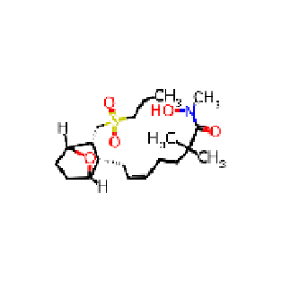 CCCS(=O)(=O)C[C@@H]1[C@H](C/C=C\CCC(C)(C)C(=O)N(C)O)[C@@H]2CC[C@H]1O2